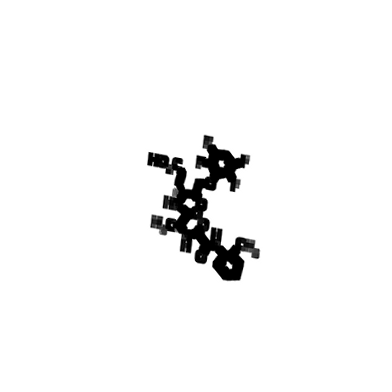 Cc1ccccc1NC(=O)C(=O)N[C@@H](C)C(=O)N[C@@H](CCC(=O)O)C(=O)COc1c(F)c(F)cc(F)c1F